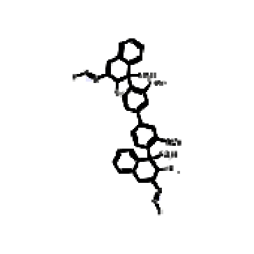 [H]/N=N/C1=Cc2ccccc2C(c2ccc(-c3ccc(C4(S(=O)(=O)O)c5ccccc5C=C(/N=N/[H])C4N)c(OC)c3)cc2OC)(S(=O)(=O)O)C1N